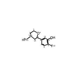 CCCN1CCOC(c2ccc(F)c(O)c2)C1